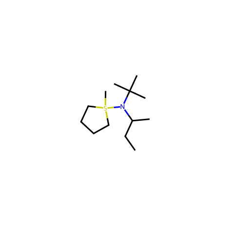 CCC(C)N(C(C)(C)C)S1(C)CCCC1